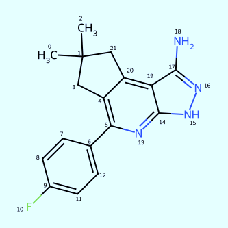 CC1(C)Cc2c(-c3ccc(F)cc3)nc3[nH]nc(N)c3c2C1